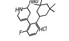 CCCCC1CC(c2c(F)cccc2C2CC(C)(C)CC(C)(C)C2)=CCN1.Cl